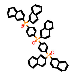 O=P(c1ccc(P(=O)(c2ccc3ccccc3c2)c2ccc3ccccc3c2)cc1)(c1ccc(P(=O)(c2ccc3ccccc3c2)c2ccc3ccccc3c2)cc1)c1ccc2ccccc2c1